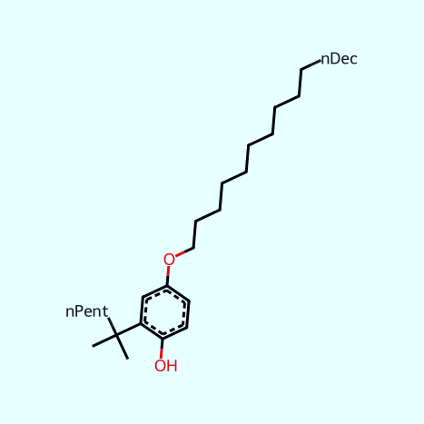 CCCCCCCCCCCCCCCCCCCCOc1ccc(O)c(C(C)(C)CCCCC)c1